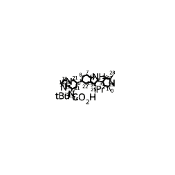 Cc1cc(-c2[nH]c3ccc(-c4cc(N(C(=O)O)C(C)(C)C)c5nccn5c4)cc3c2C(C)C)cc(C)n1